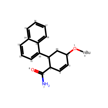 CCCCOC1C=CC(C(N)=O)C(c2cccc3ccccc23)C1